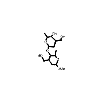 COC1CC(CO)C(OC2CC(CO)C(O)C(C)O2)C(C)O1